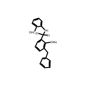 CCC(CC)(Pc1ccccc1C=O)c1cccc(Cc2ccccc2)c1OC